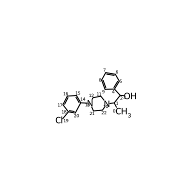 CC(C(O)c1ccccc1)N1CCN(c2cccc(Cl)c2)CC1